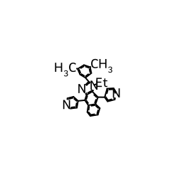 CCn1c(-c2cc(C)cc(C)c2)nc2c(-c3ccncc3)c3ccccc3c(-c3ccncc3)c21